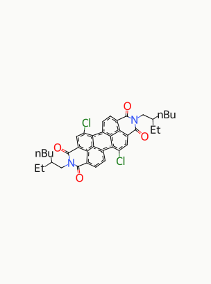 CCCCC(CC)CN1C(=O)c2ccc3c4c(Cl)cc5c6c(ccc(c7c(Cl)cc(c2c37)C1=O)c64)C(=O)N(CC(CC)CCCC)C5=O